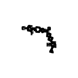 O=C(N1CC2(CCN(c3ccc(Cl)cc3F)CC2)C1)N1CC2(CC(c3nnc(C4CC4)[nH]3)C2)C1